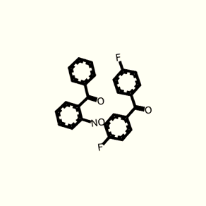 O=C(c1ccc(F)cc1)c1ccc(F)cc1.O=C(c1ccccc1)c1ccccc1[N+](=O)[O-]